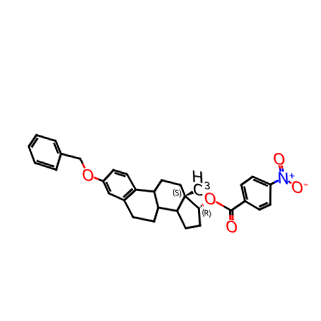 C[C@]12CCC3c4ccc(OCc5ccccc5)cc4CCC3C1CC[C@H]2OC(=O)c1ccc([N+](=O)[O-])cc1